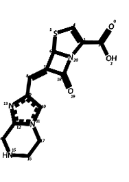 O=C(O)C1=CSC2C(=Cc3cn4c(n3)CNCC4)C(=O)N12